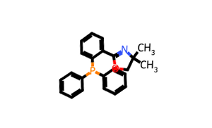 CC1(C)COC(c2ccccc2P(c2ccccc2)c2ccccc2)=N1